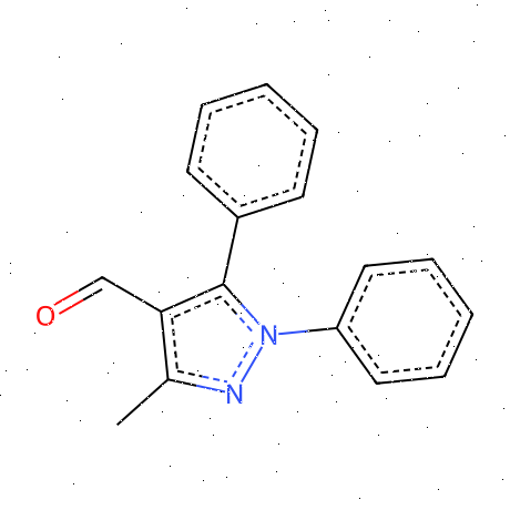 Cc1nn(-c2ccccc2)c(-c2ccccc2)c1C=O